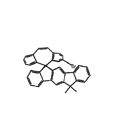 CC1(C)c2ccccc2-c2cc3c(cc21)-c1ccccc1C31c2ccccc2C=Cc2ccc(Br)cc21